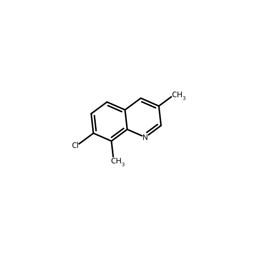 Cc1cnc2c(C)c(Cl)ccc2c1